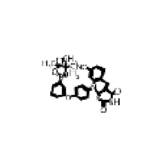 CC1(C)OB(c2cccc(Oc3ccc(-n4c5nc(=O)[nH]c(=O)c-5cc5ccc(C#N)cc54)cc3)c2)OC1(C)C